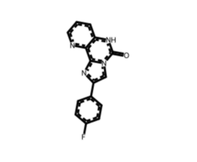 O=c1[nH]c2cccnc2c2nc(-c3ccc(F)cc3)cn12